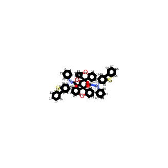 c1ccc(N(c2ccc3c(c2)sc2ccccc23)c2cc3c(o2)C2(c4ccccc4Oc4ccccc42)c2cc(N(c4ccccc4)c4ccc5c(c4)sc4ccccc45)oc2C32c3ccccc3Oc3ccccc32)cc1